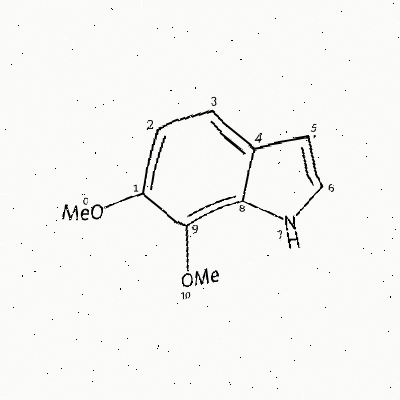 COc1ccc2[c]c[nH]c2c1OC